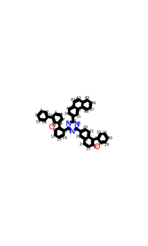 c1ccc(-c2cccc3c2oc2cccc(-c4nc(-c5ccc6c(ccc7oc8ccccc8c76)c5)nc(-c5ccc6ccc7ccccc7c6c5)n4)c23)cc1